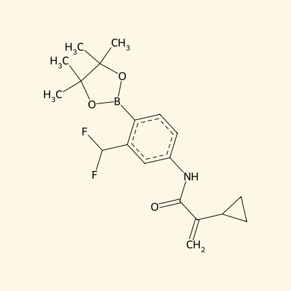 C=C(C(=O)Nc1ccc(B2OC(C)(C)C(C)(C)O2)c(C(F)F)c1)C1CC1